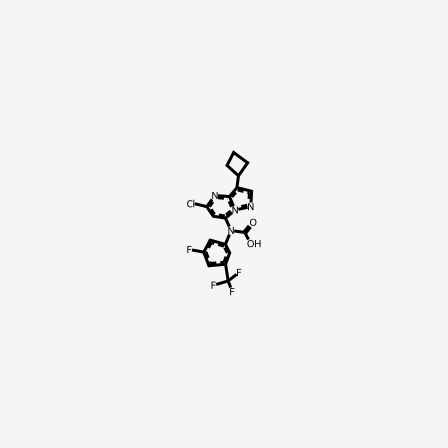 O=C(O)N(c1cc(F)cc(C(F)(F)F)c1)c1cc(Cl)nc2c(C3CCC3)cnn12